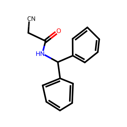 N#CCC(=O)NC(c1ccccc1)c1ccccc1